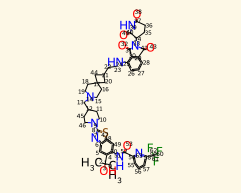 CC(C)(O)c1cc2nc(N3CCC(CN4CCC5(CC4)CC(CCNc4cccc6c4C(=O)N(C4CCC(=O)NC4=O)C6=O)C5)CC3)sc2cc1NC(=O)c1cccc(C(F)(F)F)n1